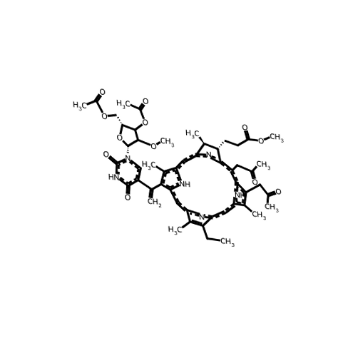 C=C(c1cn([C@@H]2O[C@H](COC(C)=O)C(OC(C)=O)C2OC)c(=O)[nH]c1=O)c1c(C)c2cc3nc(c(CC(C)=O)c4[nH]c(cc5nc(cc1[nH]2)C(C)=C5CC)c(C)c4CC(C)=O)[C@@H](CCC(=O)OC)[C@@H]3C